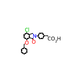 O=C(O)Cc1ccc(N2Cc3c(Cl)ccc(OCc4ccccc4)c3C2=O)cc1